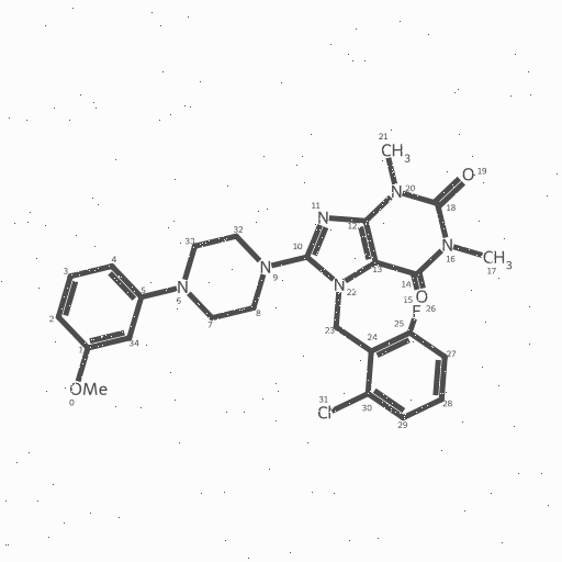 COc1cccc(N2CCN(c3nc4c(c(=O)n(C)c(=O)n4C)n3Cc3c(F)cccc3Cl)CC2)c1